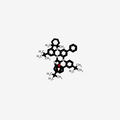 CC(C)(C)c1ccc(N2c3cc(-c4ccccc4)cc4c3B(c3cc(C(C)(C)C)cc5c3N4C3(C)CCCCC53C)c3sc4cc(C(C)(C)C)ccc4c32)c(-c2ccccc2)c1